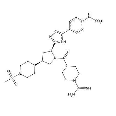 CS(=O)(=O)N1CCC([C@H]2C[C@@H](c3ncc(-c4ccc(NC(=O)O)cc4)[nH]3)N(C(=O)C3CCN(C(=N)N)CC3)C2)CC1